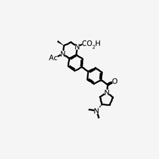 CC(=O)N1c2ccc(-c3ccc(C(=O)N4CC[C@H](N(C)C)C4)cc3)cc2N(C(=O)O)C[C@@H]1C